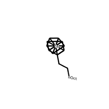 CCCCCCCCCC[C]12[CH]3[CH]4[CH]5[CH]1[Fe]45321678[CH]2[CH]1[CH]6[CH]7[CH]28